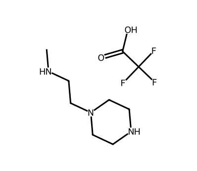 CNCCN1CCNCC1.O=C(O)C(F)(F)F